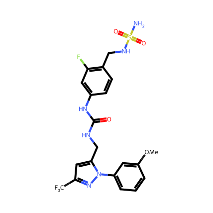 COc1cccc(-n2nc(C(F)(F)F)cc2CNC(=O)Nc2ccc(CNS(N)(=O)=O)c(F)c2)c1